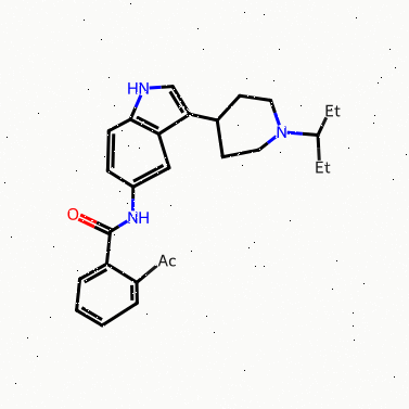 CCC(CC)N1CCC(c2c[nH]c3ccc(NC(=O)c4ccccc4C(C)=O)cc23)CC1